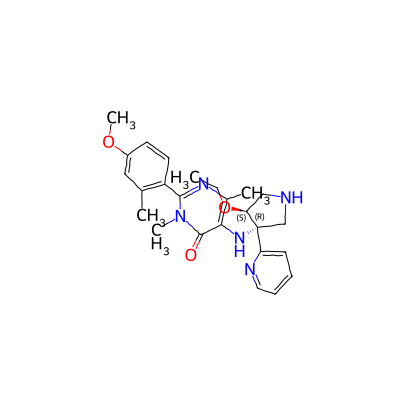 CCO[C@H]1CNC[C@@]1(Nc1c(C)nc(-c2ccc(OC)cc2C)n(C)c1=O)c1ccccn1